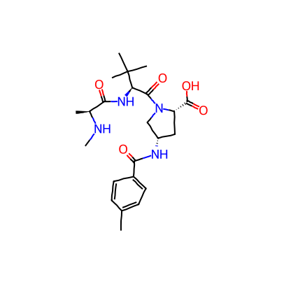 CN[C@@H](C)C(=O)N[C@H](C(=O)N1C[C@@H](NC(=O)c2ccc(C)cc2)C[C@H]1C(=O)O)C(C)(C)C